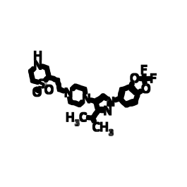 CC(C)c1nn(-c2ccc3c(c2)OC(F)(F)O3)cc1N1CCN(CCC2CNCCS2(=O)=O)CC1